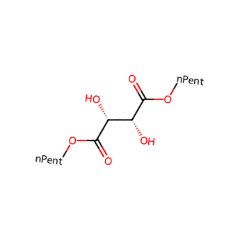 CCCCCOC(=O)[C@H](O)[C@@H](O)C(=O)OCCCCC